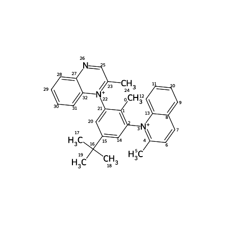 Cc1c(-[n+]2c(C)ccc3ccccc32)cc(C(C)(C)C)cc1-[n+]1c(C)cnc2ccccc21